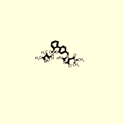 CCCc1nc(Cl)c(C(=O)N(C)C)n1Cc1ccc(-c2ccccc2S(=O)(=O)Nc2onc(C)c2C)cc1